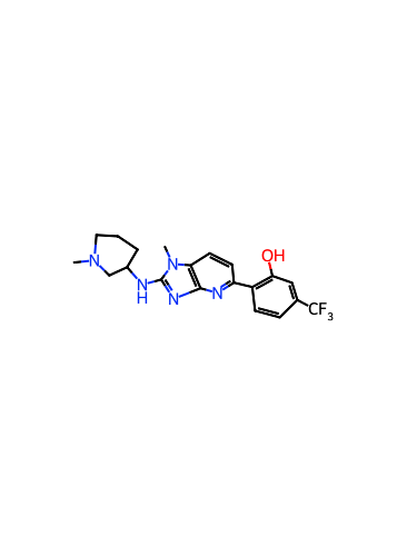 CN1CCCC(Nc2nc3nc(-c4ccc(C(F)(F)F)cc4O)ccc3n2C)C1